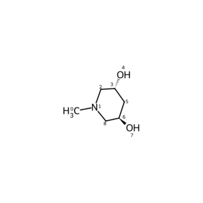 CN1C[C@H](O)C[C@@H](O)C1